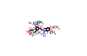 Br.CCOc1cc2c(c(F)c1OC)C(=N)N(CC(=O)c1cc(CN(C)C(C)=O)c(OCC(=O)O)c(C(C)(C)C)c1)C2